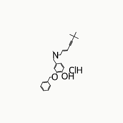 CN(C/C=C/C#CC(C)(C)C)Cc1ccc(O)c(OCc2ccccc2)c1.Cl